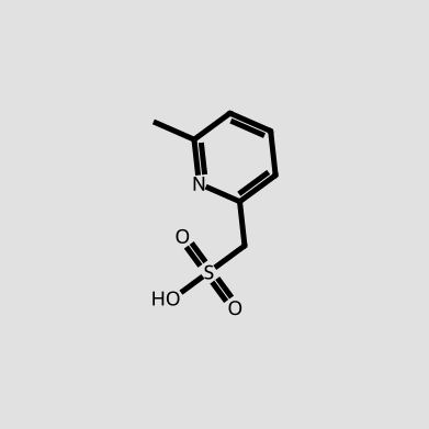 Cc1cccc(CS(=O)(=O)O)n1